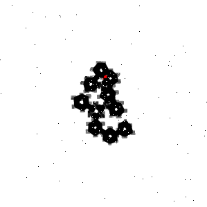 c1ccc(-c2cccc(-c3cccc(-c4nc(-c5ccccc5)nc(-n5c6ccccc6c6cc7c8ccccc8n(-c8ccccc8-c8ccccc8)c7cc65)n4)c3)c2)cc1